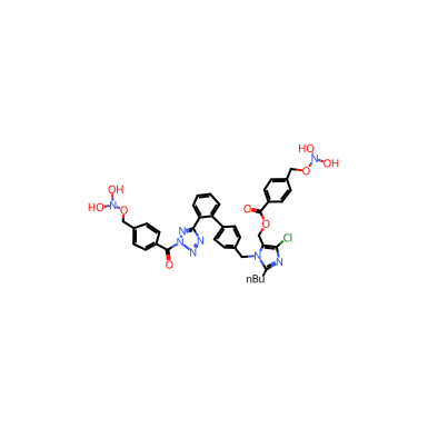 CCCCc1nc(Cl)c(COC(=O)c2ccc(CON(O)O)cc2)n1Cc1ccc(-c2ccccc2-c2nnn(C(=O)c3ccc(CON(O)O)cc3)n2)cc1